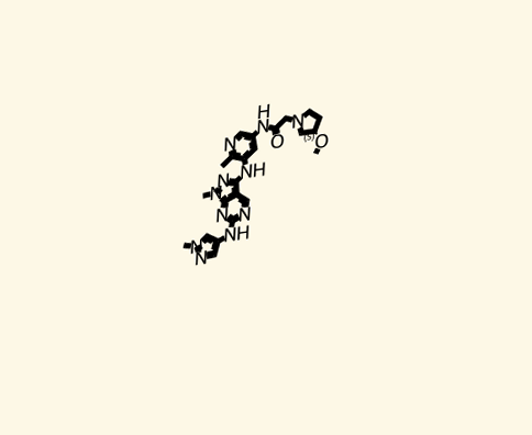 CO[C@H]1CCN(CC(=O)Nc2cnc(C)c(Nc3nn(C)c4nc(Nc5cnn(C)c5)ncc34)c2)C1